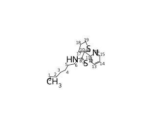 CCCCCCCNC(=S)C1(c2ccccn2)CCCS1